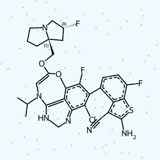 CC(C)N1C=C(OC[C@@]23CCCN2C[C@H](F)C3)Oc2c(F)c(-c3ccc(F)c4sc(N)c(C#N)c34)c(Cl)c3c2=C1NCN=3